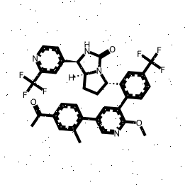 COc1ncc(-c2ccc(C(C)=O)cc2C)cc1-c1ccc(C(F)(F)F)cc1[C@@H]1CC[C@H]2[C@@H](c3ccnc(C(F)(F)F)c3)NC(=O)N12